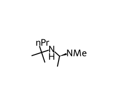 CCCC(C)(C)N[C@H](C)NC